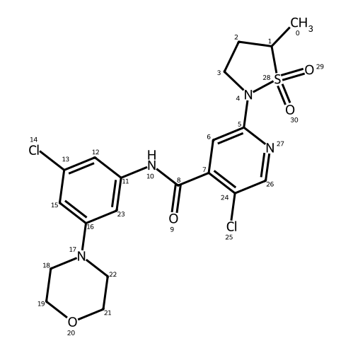 CC1CCN(c2cc(C(=O)Nc3cc(Cl)cc(N4CCOCC4)c3)c(Cl)cn2)S1(=O)=O